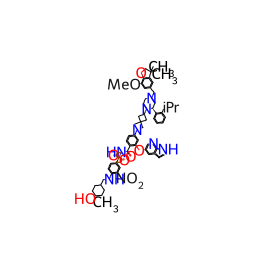 COc1cc(CN2CCN(C3CC4(C3)CN(c3ccc(C(=O)NS(=O)(=O)c5ccc(NCC6CCC(C)(O)CC6)c([N+](=O)[O-])c5)c(Oc5cnc6[nH]ccc6c5)c3)C4)[C@H](c3ccccc3C(C)C)C2)cc2c1OCC2(C)C